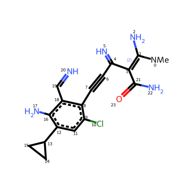 CN/C(N)=C(/C(=N)C#Cc1c(Cl)cc(C2CC2)c(N)c1C=N)C(N)=O